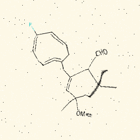 COC1(C)C=C(c2ccc(F)cc2)C(C=O)C(C)(C)C1